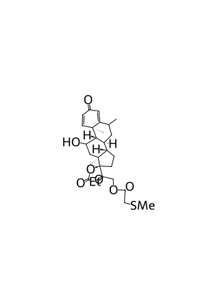 CCC(=O)O[C@]1(C(=O)COC(=O)CSC)CC[C@H]2[C@@H]3CC(C)C4=CC(=O)C=C[C@]4(C)[C@H]3C(O)C[C@@]21C